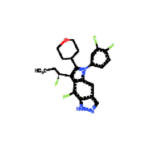 O=C(O)C[C@@H](F)c1c(C2CCOCC2)n(-c2ccc(F)c(F)c2)c2cc3cn[nH]c3c(F)c12